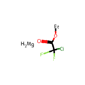 CCOC(=O)C(F)(F)Cl.[MgH2]